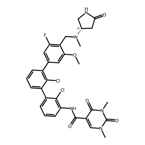 COc1cc(-c2cccc(-c3cccc(NC(=O)c4cn(C)c(=O)n(C)c4=O)c3Cl)c2Cl)cc(F)c1CN(C)[C@@H]1CNC(=O)C1